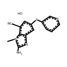 Cl.Cn1c(N)nc2cc(Sc3cccnc3)cc(C#N)c21